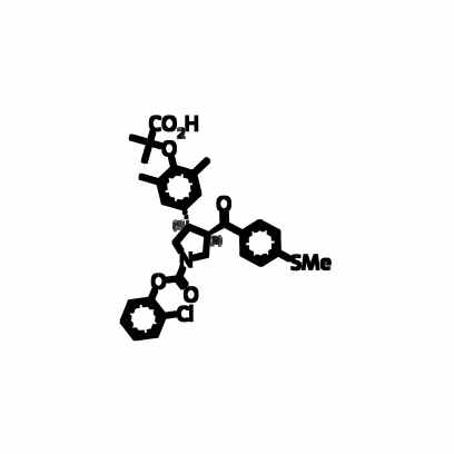 CSc1ccc(C(=O)[C@H]2CN(C(=O)Oc3ccccc3Cl)C[C@@H]2c2cc(C)c(OC(C)(C)C(=O)O)c(C)c2)cc1